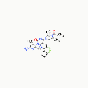 C=CC(=O)N1[C@H](C)CN(c2nc(=O)n(-c3c(C)cc(N)nc3C(C)C)c3nc(-c4ccccc4F)c(F)cc23)C[C@@H]1C